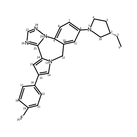 CC[C@H]1CCN(c2ccc3c(c2)Cn2cc(-c4ccc(F)cc4)cc2-c2ncnn2-3)C1